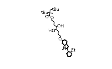 CCc1ccccc1-c1cc2ccc(OCCCC(O)C(O)CCCOC(=O)C(C)(CC(C)(C)C)C(C)(C)C)cc2n1C